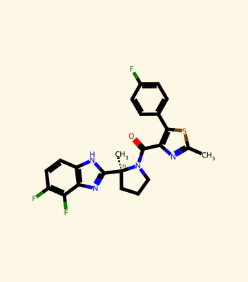 Cc1nc(C(=O)N2CCC[C@@]2(C)c2nc3c(F)c(F)ccc3[nH]2)c(-c2ccc(F)cc2)s1